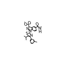 CNC(=O)c1ccc2c(c1)c(C(=O)OC)nn2-c1nc(-c2cccc(C)c2)c(C(C)C)s1